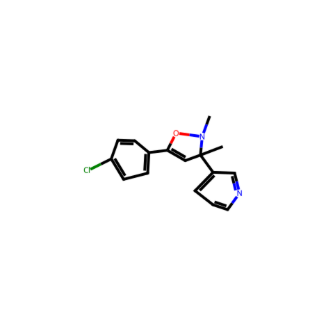 CN1OC(c2ccc(Cl)cc2)=CC1(C)c1cccnc1